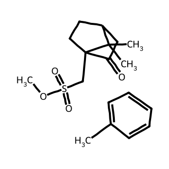 COS(=O)(=O)CC12CCC(CC1=O)C2(C)C.Cc1ccccc1